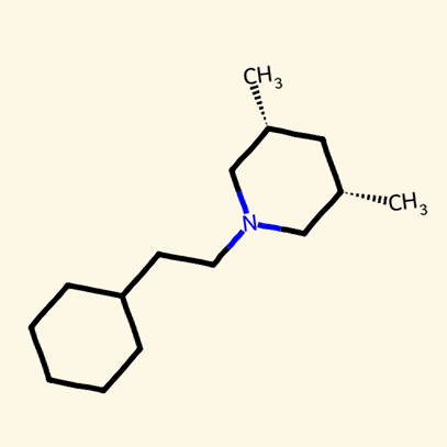 C[C@@H]1C[C@H](C)CN(CCC2CCCCC2)C1